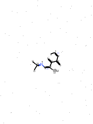 C=C(/C=C\C)C(=C)/C(=C\N=C(C)C)C(C)(C)C